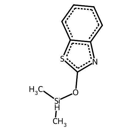 C[SiH](C)Oc1nc2ccccc2s1